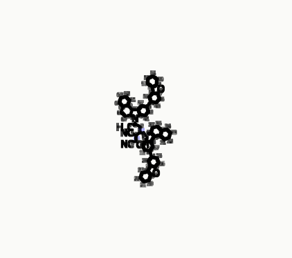 C=C(/C=C(\C(C#N)=C(/C)C#N)n1c2ccc(-c3ccc4oc5ccccc5c4c3)cc2c2c3ccccc3ccc21)N1c2ccc(-c3ccc4oc5ccccc5c4c3)cc2C2c3ccccc3C=CC21